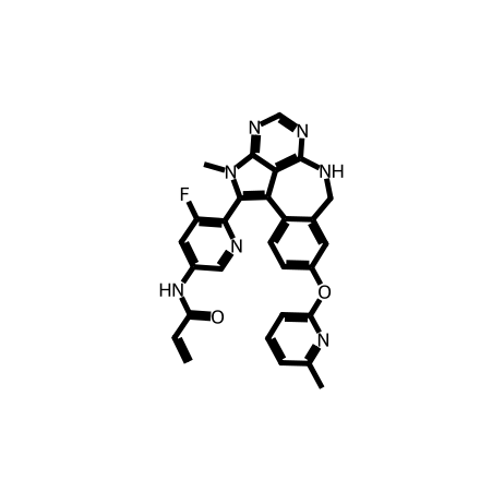 C=CC(=O)Nc1cnc(-c2c3c4c(ncnc4n2C)NCc2cc(Oc4cccc(C)n4)ccc2-3)c(F)c1